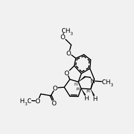 COCOc1ccc2c3c1OC1C(OC(=O)COC)C=C[C@H]4[C@@H](C2)N(C)CC[C@]314